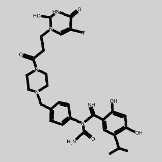 CC(C)c1cc(C(=N)N(C(N)=O)c2ccc(CN3CCN(C(=O)CCN4C=C(F)C(=O)NC4O)CC3)cc2)c(O)cc1O